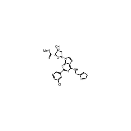 CNC(=O)[C@H]1O[C@@H](n2cnc3c(NCc4cscn4)nc(-c4cncc(Cl)c4)nc32)C[C@@H]1O